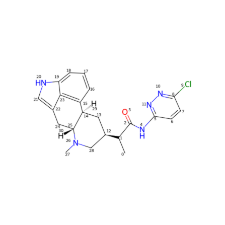 CC(C(=O)Nc1ccc(Cl)nn1)[C@@H]1C[C@@H]2c3cccc4[nH]cc(c34)C[C@H]2N(C)C1